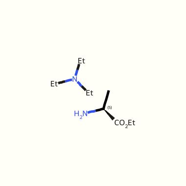 CCN(CC)CC.CCOC(=O)[C@H](C)N